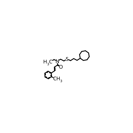 CCN(CCSCCCC1CCCCCCC1)C(=O)/C=C/c1ccccc1C